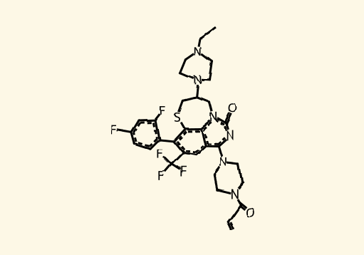 C=CC(=O)N1CCN(c2nc(=O)n3c4c(c(-c5ccc(F)cc5F)c(C(F)(F)F)cc24)SCC(N2CCN(CC)CC2)C3)CC1